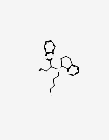 C=CCC(c1nc2ccccc2[nH]1)N(CCCCN)C1CCCc2cccnc21